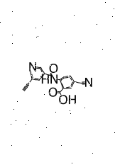 C#Cc1cncc(C(=O)Nc2ccc(C#N)cc2C(=O)O)c1